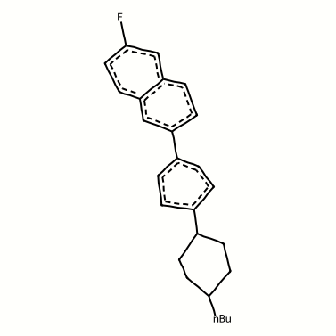 CCCCC1CCC(c2ccc(-c3ccc4cc(F)ccc4c3)cc2)CC1